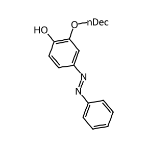 CCCCCCCCCCOc1cc(/N=N/c2ccccc2)ccc1O